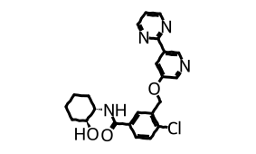 O=C(N[C@H]1CCCC[C@@H]1O)c1ccc(Cl)c(COc2cncc(-c3ncccn3)c2)c1